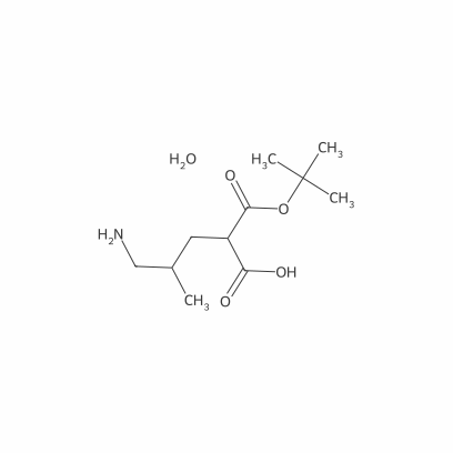 CC(CN)CC(C(=O)O)C(=O)OC(C)(C)C.O